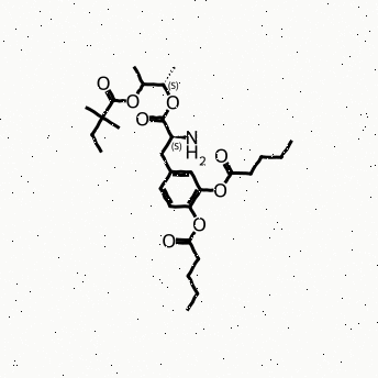 CCCCC(=O)Oc1ccc(C[C@H](N)C(=O)O[C@@H](C)C(C)OC(=O)C(C)(C)CC)cc1OC(=O)CCCC